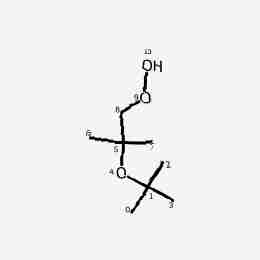 CC(C)(C)OC(C)(C)COO